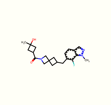 Cn1ncc2ccc(CC3CC4(C3)CN(C(=O)C3CC(C)(O)C3)C4)c(F)c21